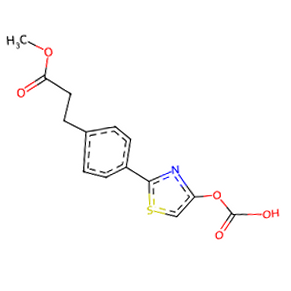 COC(=O)CCc1ccc(-c2nc(OC(=O)O)cs2)cc1